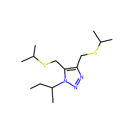 CCC(C)n1nnc(CSC(C)C)c1CSC(C)C